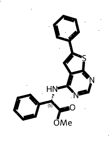 COC(=O)[C@@H](Nc1ncnc2sc(-c3ccccc3)cc12)c1ccccc1